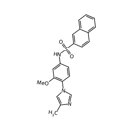 COc1cc(NS(=O)(=O)c2ccc3ccccc3c2)ccc1-n1cnc(C)c1